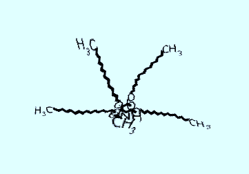 CCCCCCCCCCCCCCCCOC[C@H]1OC(OCCCCCCCCCCCCCCCC)[C@H](NC(C)=O)[C@@H](OCCCCCCCCCCCCCCCC)[C@@H]1OCCCCCCCCCCCCCCCC